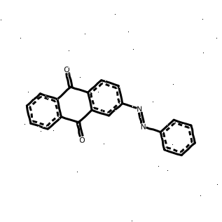 O=C1c2ccccc2C(=O)c2cc(N=Nc3ccccc3)ccc21